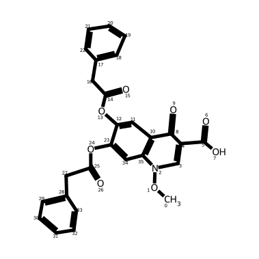 COn1cc(C(=O)O)c(=O)c2cc(OC(=O)Cc3ccccc3)c(OC(=O)Cc3ccccc3)cc21